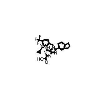 C[C@@H](Nc1nc(C(=O)O)nc2nc(-c3ccc4c(c3)CCC4)n(Cc3ccc(C(F)(F)F)cc3)c12)C1CC1